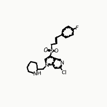 O=S(=O)(CC=Cc1ccc(F)cc1)c1cn(CC2CCCCN2)c2cc(Cl)ncc12